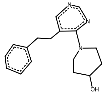 OC1CCN(c2ncncc2CCc2ccccc2)CC1